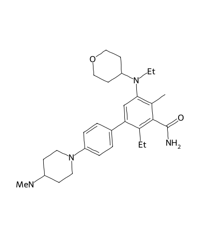 CCc1c(-c2ccc(N3CCC(NC)CC3)cc2)cc(N(CC)C2CCOCC2)c(C)c1C(N)=O